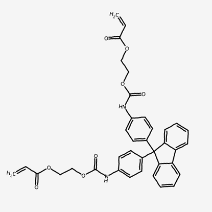 C=CC(=O)OCCOC(=O)Nc1ccc(C2(c3ccc(NC(=O)OCCOC(=O)C=C)cc3)c3ccccc3-c3ccccc32)cc1